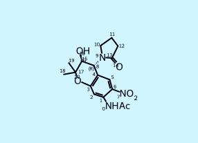 CC(=O)Nc1cc2c(cc1[N+](=O)[O-])[C@@H](N1CCCC1=O)[C@H](O)C(C)(C)O2